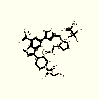 CCS(=O)(=O)N1CCC(c2c[nH]c3c(C(N)=O)cc(-c4csc(CN5CCC[C@H]5COC)c4)cc23)CC1.O=C(O)C(F)(F)F